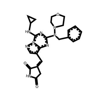 O=C1CC(=Cc2cnn3c(NC4CC4)nc(N(Cc4ccccc4)N4CCOCC4)nc23)C(=O)N1